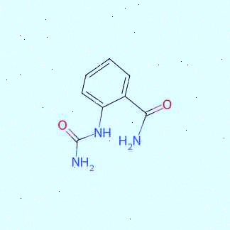 NC(=O)Nc1ccccc1C(N)=O